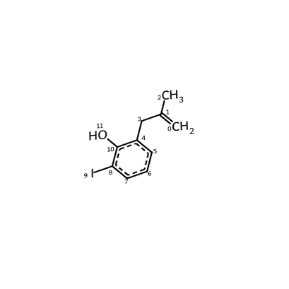 C=C(C)Cc1cccc(I)c1O